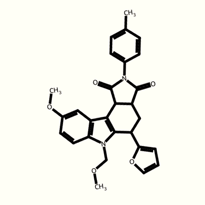 COCn1c2c(c3cc(OC)ccc31)C1C(=O)N(c3ccc(C)cc3)C(=O)C1CC2c1ccco1